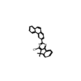 CC1(C)c2ccccc2-c2nc(-c3ccc4ccc5ccccc5c4c3)nc(Cl)c21